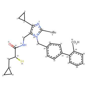 CCCCc1nc(C2CC2)c(CNC(=O)[C@@H](S)CC2CC2)n1Cc1ccc(-c2ccccc2C(=O)O)cc1